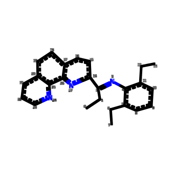 CC/C(=N\c1c(CC)cccc1CC)c1ccc2ccc3cccnc3c2n1